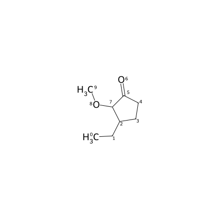 CCC1CCC(=O)C1OC